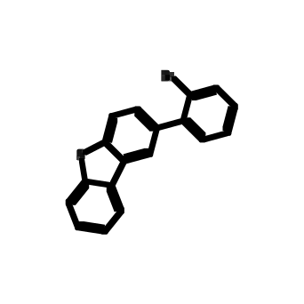 Brc1ccccc1-c1ccc2sc3ccccc3c2c1